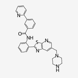 O=C(Nc1ccccc1-c1nc2cc(CN3CCNCC3)cnc2s1)c1cccc(-c2ccccn2)c1